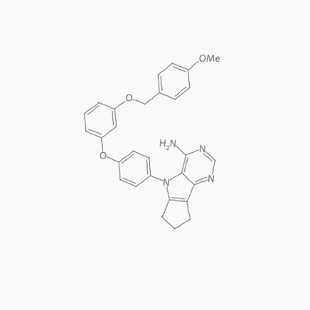 COc1ccc(COc2cccc(Oc3ccc(-n4c5c(c6ncnc(N)c64)CCC5)cc3)c2)cc1